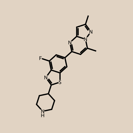 Cc1cc2nc(-c3cc(F)c4nc(C5CCNCC5)sc4c3)cc(C)n2n1